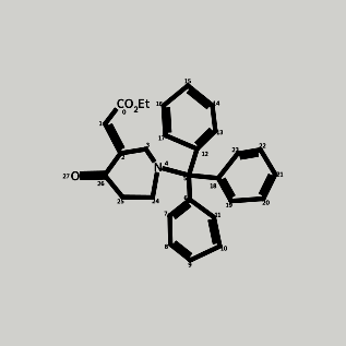 CCOC(=O)/C=C1\CN(C(c2ccccc2)(c2ccccc2)c2ccccc2)CCC1=O